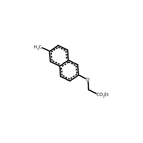 CCOC(=O)COc1ccc2cc(C)ccc2c1